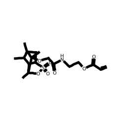 C=CC(=O)OCCNC(=O)COC1(C)C2(C)CC3C(C2C)C1(C)OS3(=O)=O